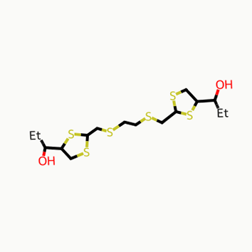 CCC(O)C1CSC(CSCCSCC2SCC(C(O)CC)S2)S1